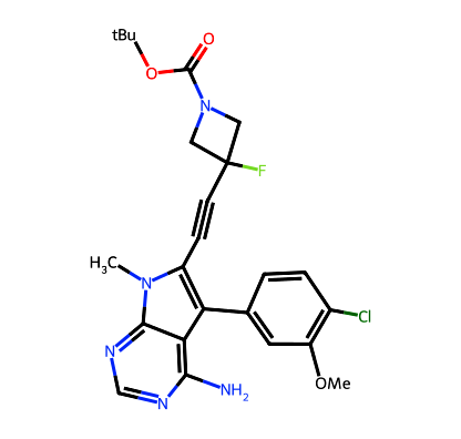 COc1cc(-c2c(C#CC3(F)CN(C(=O)OC(C)(C)C)C3)n(C)c3ncnc(N)c23)ccc1Cl